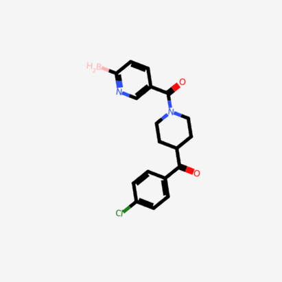 Bc1ccc(C(=O)N2CCC(C(=O)c3ccc(Cl)cc3)CC2)cn1